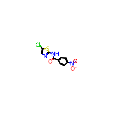 O=C(Nc1ncc(Cl)s1)c1ccc([N+](=O)[O-])cc1